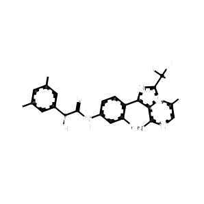 [2H]C([2H])([2H])c1nc(-c2ccc(NC(=O)[C@@H](O)c3cc(F)cc(F)c3)cc2C)c2c(N)ncc(Cl)n12